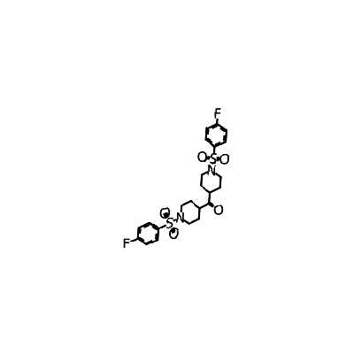 O=C(C1CCN(S(=O)(=O)c2ccc(F)cc2)CC1)C1CCN(S(=O)(=O)c2ccc(F)cc2)CC1